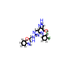 CN1CC(CNc2ncc3c4n[nH]cc4c(=O)n(-c4cccc(F)c4F)c3n2)Oc2ccccc21